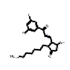 O=C(O)CCCCCCC1C(=O)CC(O)C1/C=C/C(=O)c1cc(Cl)cc(Cl)c1